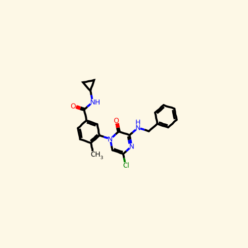 Cc1ccc(C(=O)NC2CC2)cc1-n1cc(Cl)nc(NCc2ccccc2)c1=O